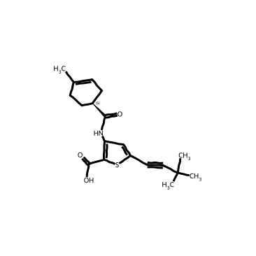 CC1=CC[C@@H](C(=O)Nc2cc(C#CC(C)(C)C)sc2C(=O)O)CC1